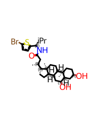 CC(C)[C@@H](NC(=O)C[C@@H](C)[C@H]1CC[C@H]2[C@@H]3C[C@H](O)[C@@H]4C[C@H](O)CC[C@]4(C)[C@H]3CC[C@]12C)c1ccc(Br)s1